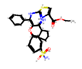 CCOC(=O)c1csc(N/C(=C(/Oc2ccc(S(N)(=O)=O)cc2)C(=N)C2CCCC2)c2ccccc2)n1